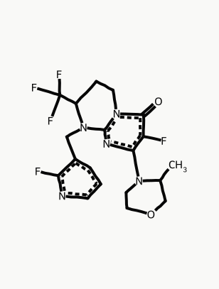 CC1COCCN1c1nc2n(c(=O)c1F)CCC(C(F)(F)F)N2Cc1cccnc1F